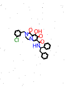 O=C(NC(Cc1ccccc1)c1ccccc1)c1cn2c(c(O)c1=O)C(=O)N(Cc1cccc(Cl)c1)CC2